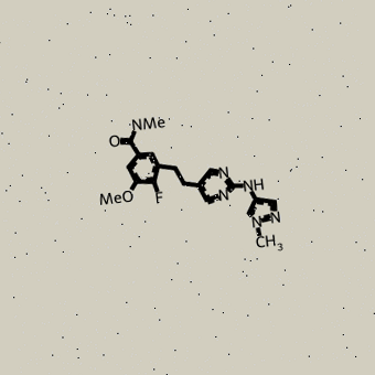 CNC(=O)c1cc(CCc2cnc(Nc3cnn(C)c3)nc2)c(F)c(OC)c1